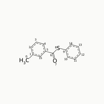 Cc1cccc(C(=O)Sc2ccccc2)c1